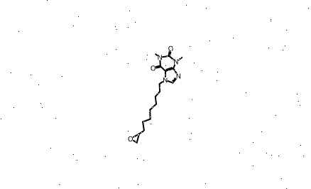 Cn1c(=O)c2c(ncn2CCCCCCCCC2CO2)n(C)c1=O